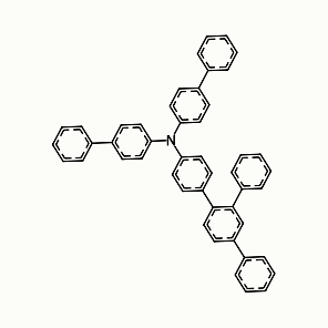 c1ccc(-c2ccc(N(c3ccc(-c4ccccc4)cc3)c3ccc(-c4ccc(-c5ccccc5)cc4-c4ccccc4)cc3)cc2)cc1